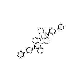 c1ccc(-c2ccc(N3c4ccccc4C45CCC6(c7ccccc7N(c7ccc(-c8ccccc8)cc7)c7cccc4c76)c4cccc3c45)cc2)cc1